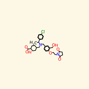 CC(c1ccc(Cl)cc1)N(Cc1ccc(OCCN2C(=O)CCC2=O)c(CO)c1)CC1CCC(C(=O)O)CC1